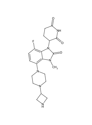 Cn1c(=O)n(C2CCC(=O)NC2=O)c2c(F)ccc(N3CCN(C4CNC4)CC3)c21